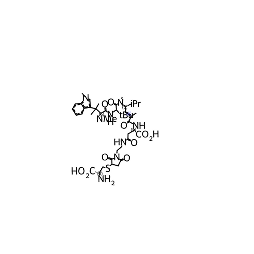 CN[C@H](C(=O)NC(C(=O)N(C)[C@H](/C=C(\C)C(=O)N[C@@H](CC(=O)NCCN1C(=O)CC(SC[C@H](N)C(=O)O)C1=O)C(=O)O)C(C)C)C(C)(C)C)C(C)(C)c1cn(C)c2ccccc12